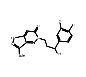 CCCC(CCn1nc2c(SC)n[nH]c2cc1=O)c1ccc(Cl)c(Cl)c1